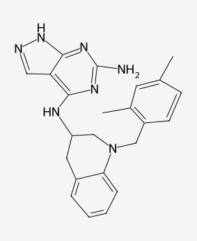 Cc1ccc(CN2CC(Nc3nc(N)nc4[nH]ncc34)Cc3ccccc32)c(C)c1